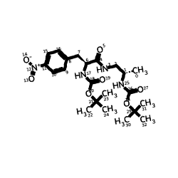 C[C@@H](CNC(=O)[C@H](Cc1ccc([N+](=O)[O-])cc1)NC(=O)OC(C)(C)C)NC(=O)OC(C)(C)C